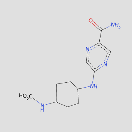 NC(=O)c1cnc(NC2CCC(NC(=O)O)CC2)cn1